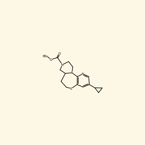 CC(C)(C)OC(=O)N1CCN2c3ncc(C4CC4)cc3SCCC2C1